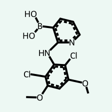 COc1cc(OC)c(Cl)c(Nc2ncccc2B(O)O)c1Cl